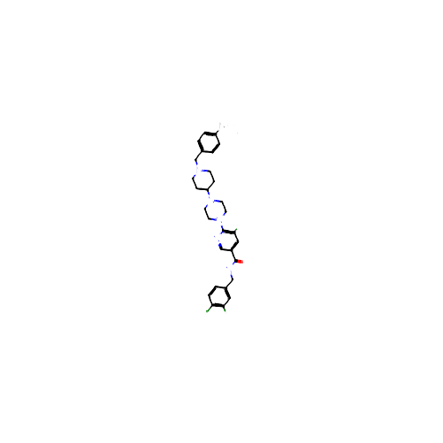 C[C@@H]1CN(C2CCN(Cc3ccc([N+](=O)[O-])cc3)CC2)CCN1c1ncc(C(=O)NCc2ccc(Cl)c(Cl)c2)cc1Cl